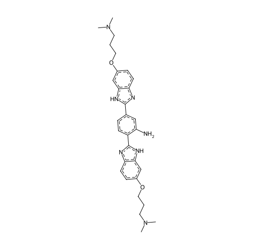 CN(C)CCCOc1ccc2nc(-c3ccc(-c4nc5ccc(OCCCN(C)C)cc5[nH]4)c(N)c3)[nH]c2c1